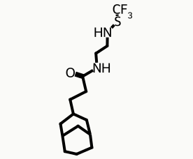 O=C(CCC1CC2CCCC(C2)C1)NCCNSC(F)(F)F